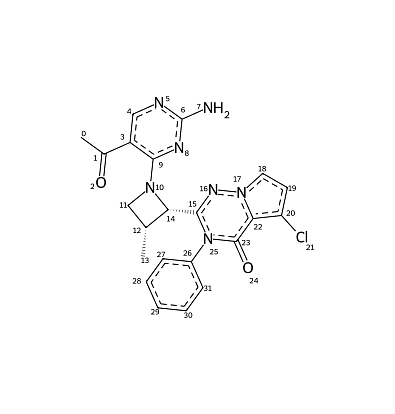 CC(=O)c1cnc(N)nc1N1C[C@@H](C)[C@H]1c1nn2ccc(Cl)c2c(=O)n1-c1ccccc1